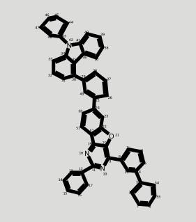 c1ccc(-c2cccc(-c3nc(-c4ccccc4)nc4c3oc3cc(-c5cccc(-c6cccc7c6c6ccccc6n7-c6ccccc6)c5)ccc34)c2)cc1